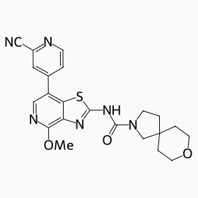 COc1ncc(-c2ccnc(C#N)c2)c2sc(NC(=O)N3CCC4(CCOCC4)C3)nc12